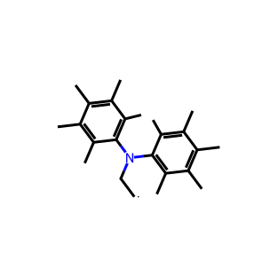 [CH2]CN(c1c(C)c(C)c(C)c(C)c1C)c1c(C)c(C)c(C)c(C)c1C